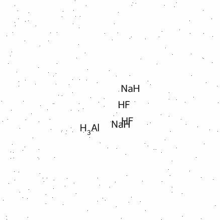 F.F.[AlH3].[NaH].[NaH]